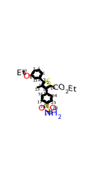 CCOC(=O)c1sc(-c2cccc(OCC)c2)c(C)c1-c1ccc(S(N)(=O)=O)cc1